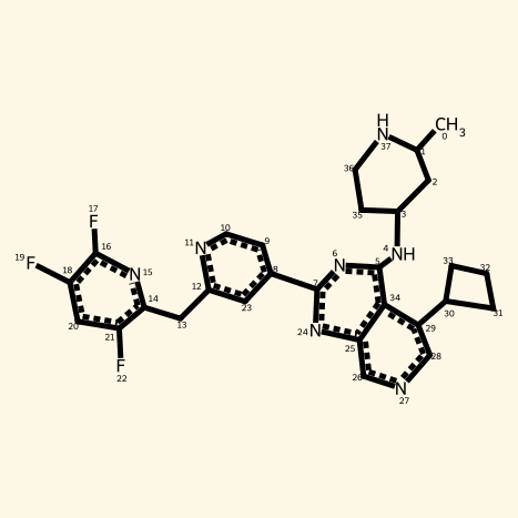 CC1CC(Nc2nc(-c3ccnc(Cc4nc(F)c(F)cc4F)c3)nc3cncc(C4CCC4)c23)CCN1